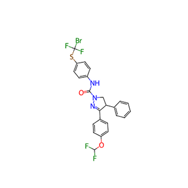 O=C(Nc1ccc(SC(F)(F)Br)cc1)N1CC(c2ccccc2)C(c2ccc(OC(F)F)cc2)=N1